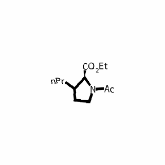 CCCC1CCN(C(C)=O)[C@@H]1C(=O)OCC